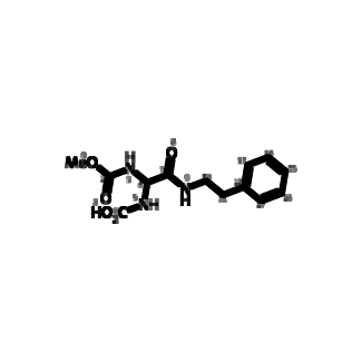 COC(=O)NC(NC(=O)O)C(=O)NCCc1ccccc1